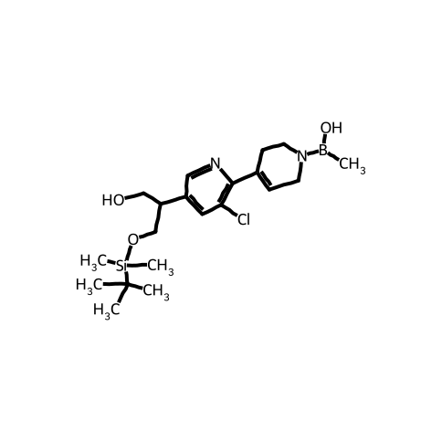 CB(O)N1CC=C(c2ncc(C(CO)CO[Si](C)(C)C(C)(C)C)cc2Cl)CC1